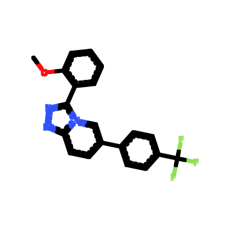 COc1ccccc1-c1nnc2ccc(-c3ccc(C(F)(F)F)cc3)cn12